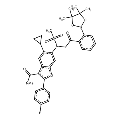 CNC(=O)c1c(-c2ccc(F)cc2)oc2cc(N(CC(=O)c3ccccc3B3OC(C)(C)C(C)(C)O3)S(C)(=O)=O)c(C3CC3)cc12